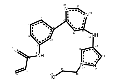 C=CC(=O)Nc1cccc(-c2cc(Nc3cnn(CCO)c3)ncn2)c1